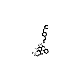 COC(=O)C1=C(C)NC(C)=C(C(=O)OCC=Cc2ccc(Cn3ccnc3)cc2)C1c1ccccc1C#N